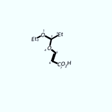 CCOC(CC)OC=CC(=O)O